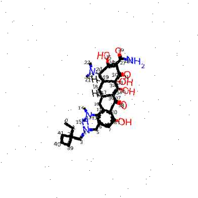 CCC1(CNCc2cc(O)c3c(c2N(C)C)C[C@H]2C[C@H]4[C@H](N(C)C)C(O)=C(C(N)=O)C(=O)[C@@]4(O)C(O)=C2C3=O)CCC1